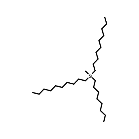 CCCCCCCCCC[Si](C)(CCCCCCCC)CCCCCCCCCC